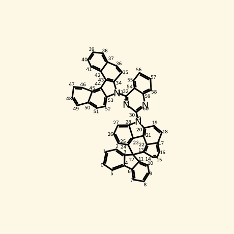 c1ccc2c(c1)-c1ccccc1C21c2cccc3ccc4c(c23)c2c1cccc2n4-c1nc(-n2c3ccc4ccccc4c3c3c4ccccc4ccc32)c2ccccc2n1